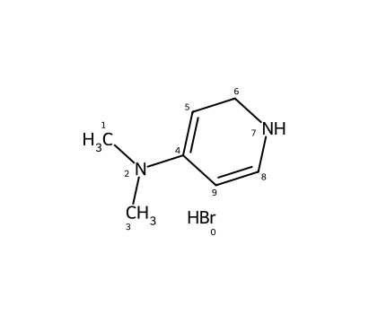 Br.CN(C)C1=CCNC=C1